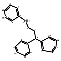 c1ccc(C(CCNc2cccnc2)c2ccccc2)cc1